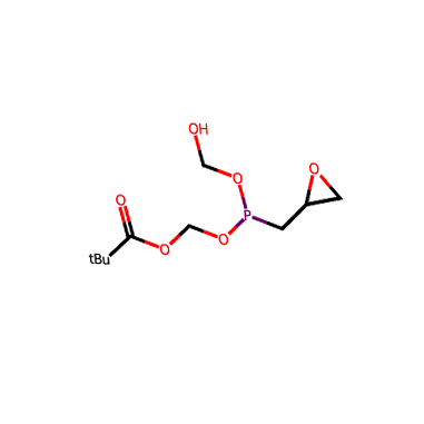 CC(C)(C)C(=O)OCOP(CC1CO1)OCO